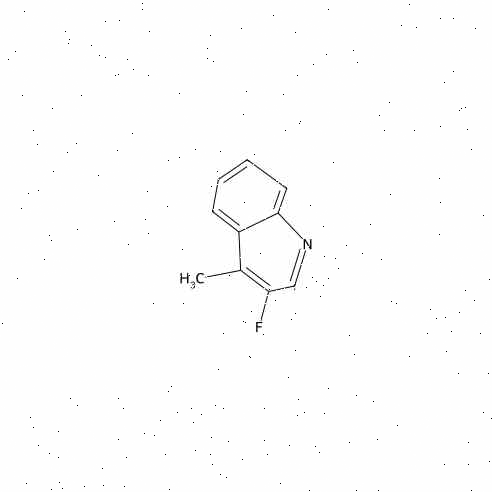 Cc1c(F)[c]nc2ccccc12